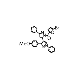 COc1ccc(-c2nn(-c3ccccc3)cc2C2CC(c3ccccc3)=NN2C(=O)c2ccc(Br)o2)cc1